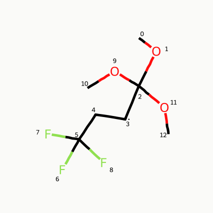 COC([CH]CC(F)(F)F)(OC)OC